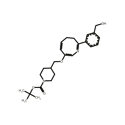 CC(C)(C)OC(=O)N1CCC(COC2=C/N=C(/c3cccc(CO)c3)CC/C=C\2)CC1